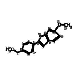 CCc1ccc(-c2cc3ccc(OC)cc3s2)cc1